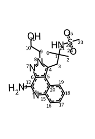 CC(C)(Cc1c2c(nn1CCO)c(N)nc1ccccc12)NS(C)(=O)=O